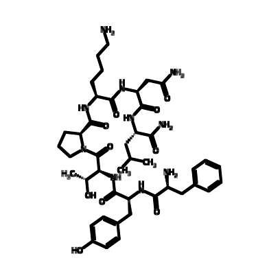 CC(C)C[C@H](NC(=O)[C@H](CC(N)=O)NC(=O)[C@H](CCCCN)NC(=O)[C@@H]1CCCN1C(=O)[C@@H](NC(=O)[C@H](Cc1ccc(O)cc1)NC(=O)[C@@H](N)Cc1ccccc1)[C@@H](C)O)C(N)=O